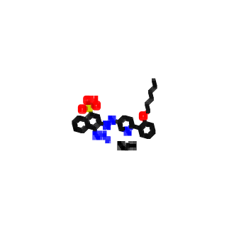 CCCCCCOc1ccccc1-c1ccc(/N=N/c2cc(S(=O)(=O)O)c3ccccc3c2N)cn1.[NaH]